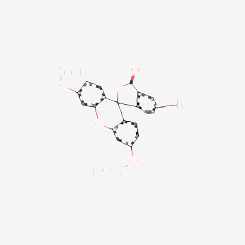 O=C1OC2(c3ccc(OS(=O)(=O)O)cc3Oc3cc(OS(=O)(=O)O)ccc32)c2ccc(Br)cc21